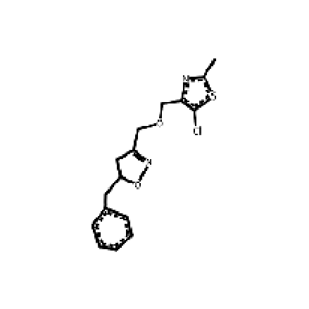 Cc1nc(COCC2=NOC(Cc3ccccc3)C2)c(Cl)s1